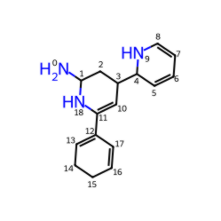 NC1CC(C2C=CC=CN2)C=C(C2=CCCC=C2)N1